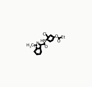 CCC(=O)Oc1ccc(NC(=O)c2nn(C)c3ccccc23)c(Cl)c1